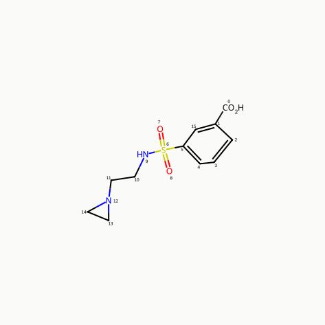 O=C(O)c1cccc(S(=O)(=O)NCCN2CC2)c1